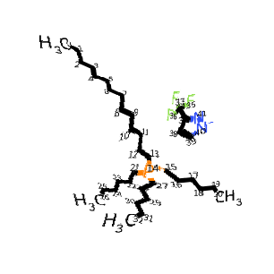 CCCCCCCCCCCCCC[P+](CCCCCC)(CCCCCC)CCCCCC.FC(F)(F)c1cc[n-]n1